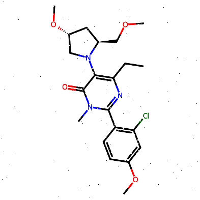 CCc1nc(-c2ccc(OC)cc2Cl)n(C)c(=O)c1N1C[C@H](OC)C[C@H]1COC